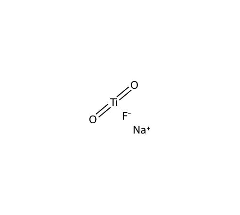 [F-].[Na+].[O]=[Ti]=[O]